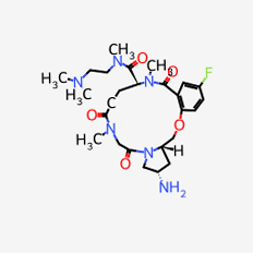 CN(C)CCN(C)C(=O)[C@@H]1CCC(=O)N(C)CC(=O)N2C[C@@H](N)C[C@H]2COc2ccc(F)cc2C(=O)N1C